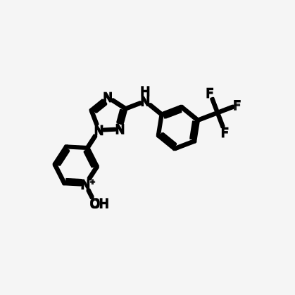 O[n+]1cccc(-n2cnc(Nc3cccc(C(F)(F)F)c3)n2)c1